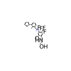 COc1cc(/C(F)=C/c2cccc(-c3ccccc3)c2C)c(C(F)(F)F)cc1CNCCO